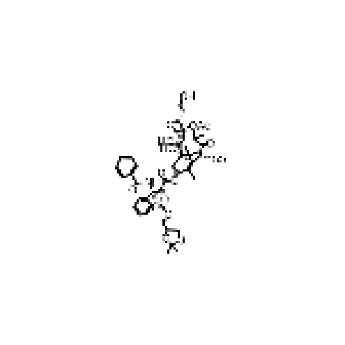 CC(=O)O[C@H]1C(=O)C(C)(C)[C@@H]([C@]2(OC(C)=O)CO[C@@H]2CCO)[C@H](O)[C@]2(O)C[C@H](OC(=O)[C@H](OC(=O)OCC3COC(C)(C)O3)[C@@H](NC(=O)c3ccccc3)c3ccccc3)C(C)=C1C2(C)C